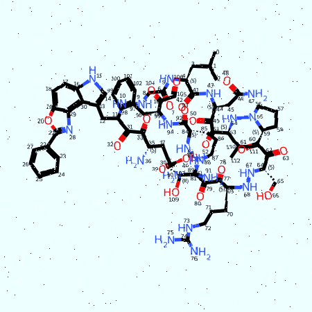 CC(C)C[C@H](NC(=O)CNNC(Cc1c[nH]c2ccc3oc(-c4ccccc4)nc3c12)C(=O)C(=O)[C@@H](N)CC(=O)O)C(=O)N[C@@H](CC(N)=O)C(=O)C(=O)[C@@H](NN1CCC[C@H]1C(=O)C(=O)[C@H](CO)NN[C@@H](CCCNC(N)N)C(=O)C(=O)[C@@H](NN[C@@H](CCCNC(N)N)C(=O)N[C@@H](Cc1ccccc1)C(=O)C=O)[C@@H](C)O)C(C)C